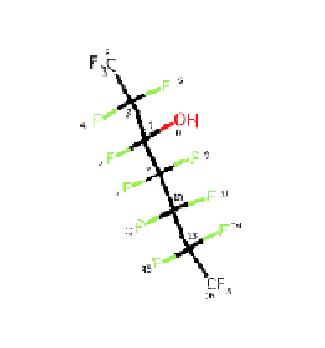 OC(F)(C(F)(F)C(F)(F)F)C(F)(F)C(F)(F)C(F)(F)C(F)(F)F